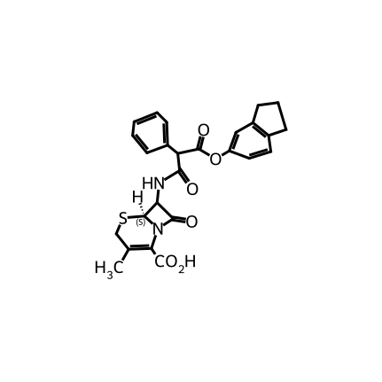 CC1=C(C(=O)O)N2C(=O)C(NC(=O)C(C(=O)Oc3ccc4c(c3)CCC4)c3ccccc3)[C@@H]2SC1